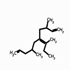 C=CCC(C)CC(CC(C)C=C)=C(C)CC